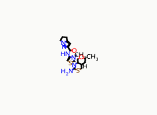 C[C@H]1C[C@H]2CSC(N)=N[C@@]2(C2SC=C(NC(=O)c3cc4n(n3)CCC4)N2C)CO1